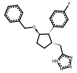 Fc1ccc([C@@H]2[C@H](Cc3nnn[nH]3)CC[C@H]2OCc2ccccc2)cc1